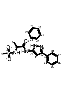 CC(NS(C)(=O)=O)C(=O)Nc1cc(-c2ccccc2)n[nH]1.c1ccccc1